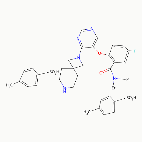 CCN(C(=O)c1cc(F)ccc1Oc1cncnc1N1CC2(CCNCC2)C1)C(C)C.Cc1ccc(S(=O)(=O)O)cc1.Cc1ccc(S(=O)(=O)O)cc1